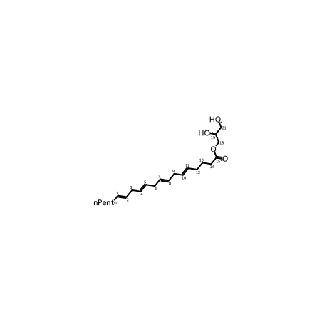 CCCCCC=CCC=CCC=CCC=CCCCC(=O)OCC(O)CO